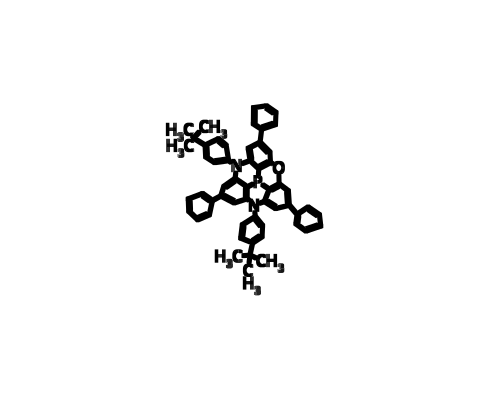 CC(C)(C)c1ccc(N2c3cc(-c4ccccc4)cc4c3P3c5c(cc(-c6ccccc6)cc5N(c5ccc(C(C)(C)C)cc5)c5cc(-c6ccccc6)cc2c53)O4)cc1